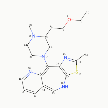 CCOCCC1CN(C2=c3ncccc3=CNc3sc(C)nc32)CCN1C